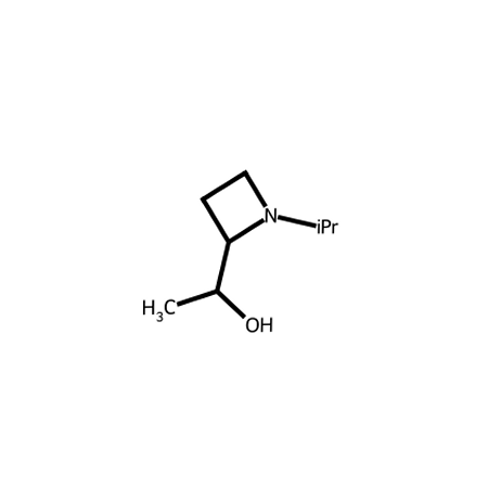 CC(O)C1CCN1C(C)C